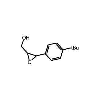 CC(C)(C)c1ccc(C2OC2CO)cc1